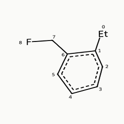 CCc1ccccc1CF